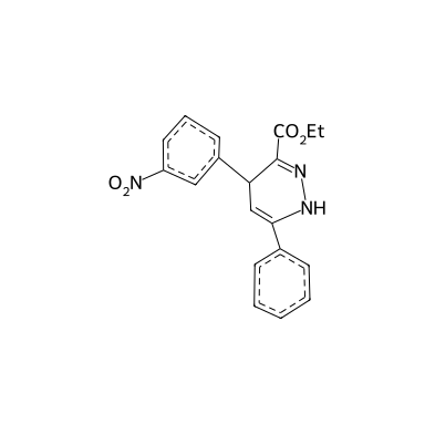 CCOC(=O)C1=NNC(c2ccccc2)=CC1c1cccc([N+](=O)[O-])c1